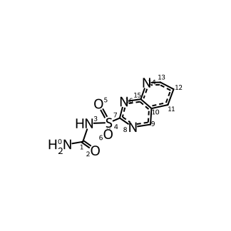 NC(=O)NS(=O)(=O)c1ncc2cccnc2n1